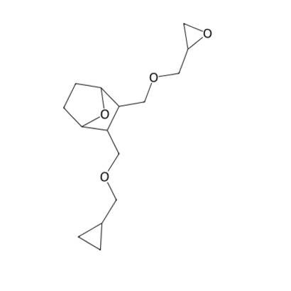 C1CC1COCC1C2CCC(O2)C1COCC1CO1